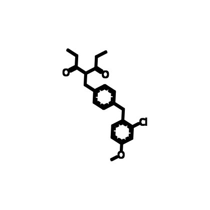 CCC(=O)C(Cc1ccc(Cc2ccc(OC)cc2Cl)cc1)C(=O)CC